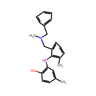 Cc1ccc(O)c(Pc2c(C)cccc2CN(C)Cc2ccccc2)c1